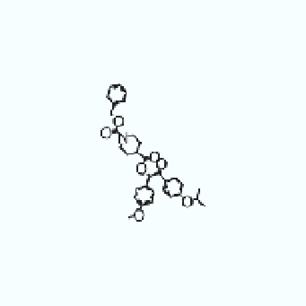 COc1ccc(C(OC(=O)C2CCN(C(=O)OCc3ccccc3)CC2)C(=O)c2ccc(OC(C)C)cc2)cc1